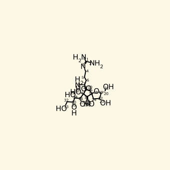 NC(N)=NCCC[C@H](N)C(=O)[C@](O)(C(=O)C1(CO)O[C@H](CO)[C@@H](O)[C@@H]1O)[C@@H](O)[C@H](O)[C@H](O)CO